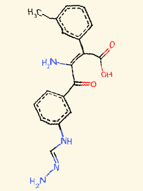 Cc1cccc(C(C(=O)O)=C(N)C(=O)c2cccc(NC=NN)c2)c1